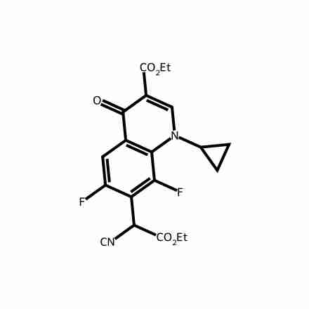 [C-]#[N+]C(C(=O)OCC)c1c(F)cc2c(=O)c(C(=O)OCC)cn(C3CC3)c2c1F